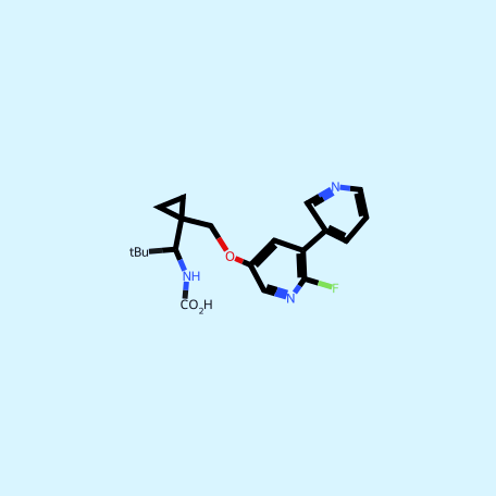 CC(C)(C)C(NC(=O)O)C1(COc2cnc(F)c(-c3cccnc3)c2)CC1